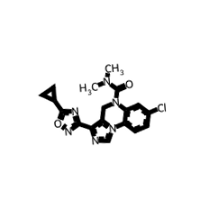 CN(C)C(=O)N1Cc2c(-c3noc(C4CC4)n3)ncn2-c2ccc(Cl)cc21